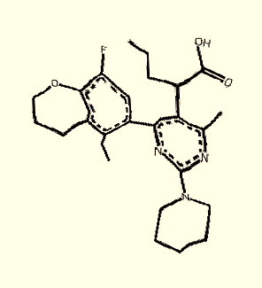 CCCC(C(=O)O)c1c(C)nc(N2CCCCC2)nc1-c1cc(F)c2c(c1C)CCCO2